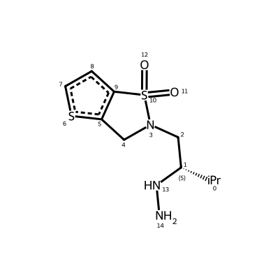 CC(C)[C@@H](CN1Cc2sccc2S1(=O)=O)NN